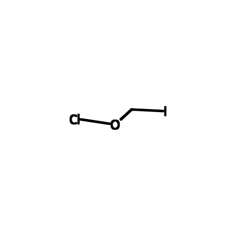 ClOCI